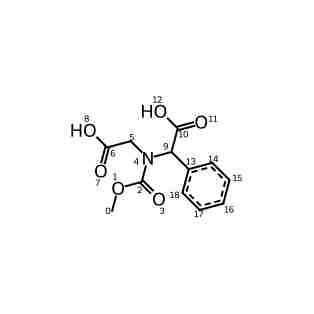 COC(=O)N(CC(=O)O)C(C(=O)O)c1ccccc1